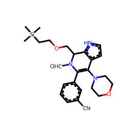 C[Si](C)(C)CCOCC1c2[nH]ccc2C(N2CCOCC2)=C(c2cccc(C#N)c2)N1C=O